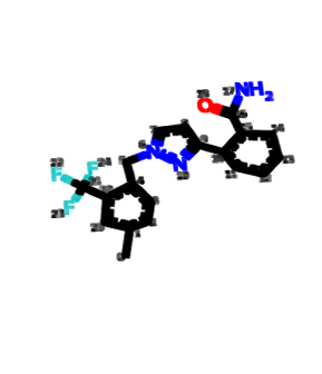 Cc1ccc(Cn2ccc(-c3ccccc3C(N)=O)n2)c(C(F)(F)F)c1